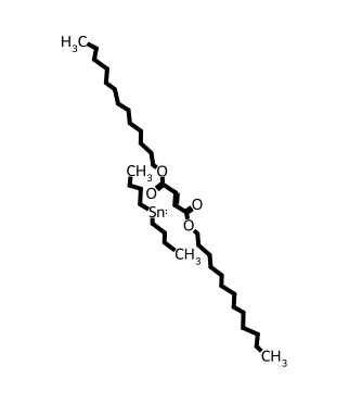 CCCCCCCCCCCCCOC(=O)C=CC(=O)OCCCCCCCCCCCCC.CCC[CH2][Sn][CH2]CCC